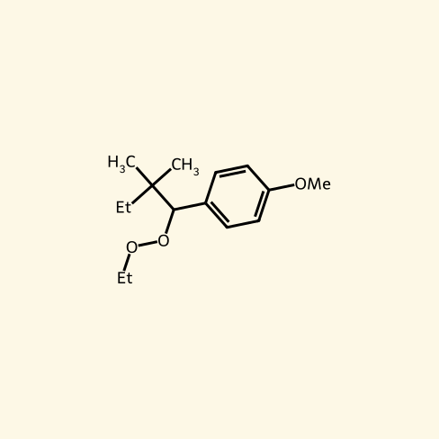 CCOOC(c1ccc(OC)cc1)C(C)(C)CC